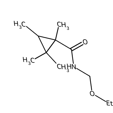 CCOCNC(=O)C1(C)C(C)C1(C)C